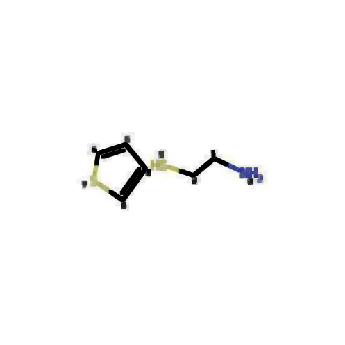 NCCS.c1ccsc1